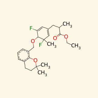 CCOC(=O)C(C)CC1=CC(C)(F)C(OCc2cccc3c2OC(C)(C)CC3)C(F)=C1